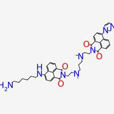 CN(CCCN(C)CCN1C(=O)c2cccc3c(-n4ccnc4)ccc(c23)C1=O)CCN1C(=O)c2cccc3c(NCCCCCCN)ccc(c23)C1=O